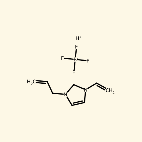 C=CCN1C=CN(C=C)C1.F[B-](F)(F)F.[H+]